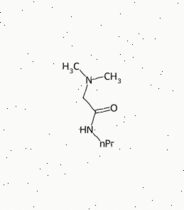 CCCNC(=O)CN(C)C